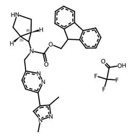 Cc1nn(C)cc1-c1ccc(CN(C(=O)OCC2c3ccccc3-c3ccccc32)C2[C@H]3CNC[C@@H]23)nn1.O=C(O)C(F)(F)F